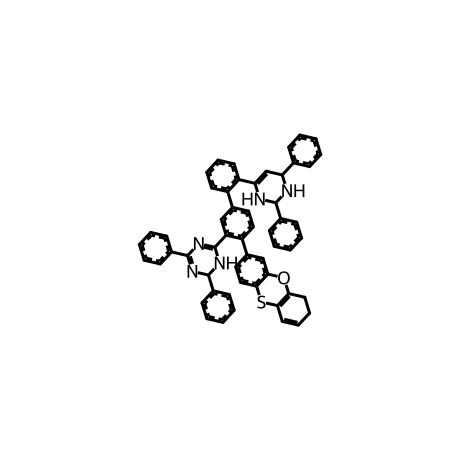 C1=CC2=C(CC1)Oc1cc(-c3ccc(-c4ccccc4C4=CC(c5ccccc5)NC(c5ccccc5)N4)cc3C3=NC(c4ccccc4)=NC(c4ccccc4)N3)ccc1S2